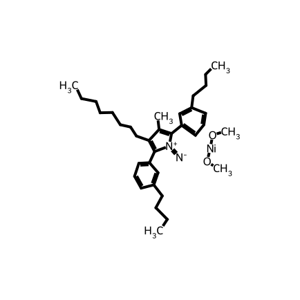 CCCCCCCCC1=C(c2cccc(CCCC)c2)[N+](=[N-])C(c2cccc(CCCC)c2)=C1C.C[O][Ni][O]C